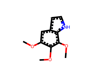 COc1cc2[c]c[nH]c2c(OC)c1OC